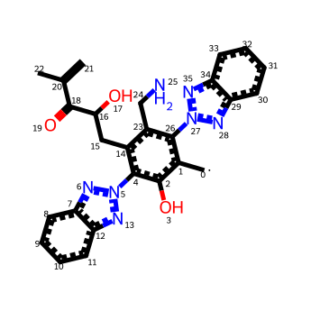 [CH2]c1c(O)c(-n2nc3ccccc3n2)c(CC(O)C(=O)C(=C)C)c(CN)c1-n1nc2ccccc2n1